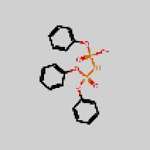 O=P(O)(Oc1ccccc1)PP(=O)(Oc1ccccc1)Oc1ccccc1